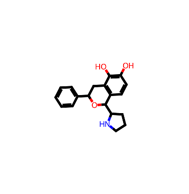 Oc1ccc2c(c1O)CC(c1ccccc1)OC2C1CCCN1